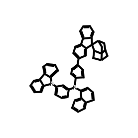 c1cc(N(c2ccc(-c3ccc4c(c3)C3(c5ccccc5-4)C4CC5CC(C4)CC3C5)cc2)c2cccc3ccccc23)cc(-n2c3ccccc3c3ccccc32)c1